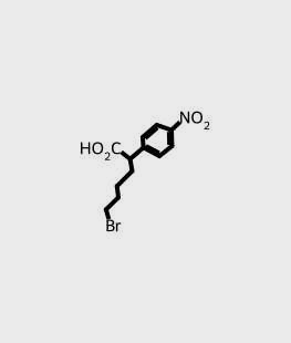 O=C(O)C(CCCCBr)c1ccc([N+](=O)[O-])cc1